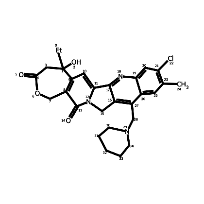 CCC1(O)CC(=O)OCc2c1cc1n(c2=O)Cc2c-1nc1cc(Cl)c(C)cc1c2CN1CCCCC1